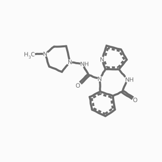 CN1CCN(NC(=O)N2c3ccccc3C(=O)Nc3cccnc32)CC1